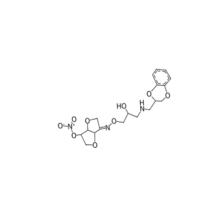 O=[N+]([O-])OC1COC2C(=NOCC(O)CNCC3COc4ccccc4O3)COC12